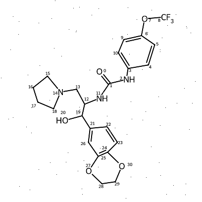 O=C(Nc1ccc(OC(F)(F)F)cc1)NC(CN1CCCC1)C(O)c1ccc2c(c1)OCCO2